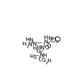 N=C(N)NCCC[C@H](NC(=O)[C@@H](N)Cc1ccccc1)C(=O)NCC(=O)N[C@@H](CS)C(=O)O